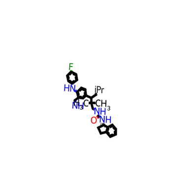 CC(C)CC(c1ccc(Nc2ccc(F)cc2)c(C=N)c1)C(C)(C)CNC(=O)N[C@H]1CCc2ccccc21